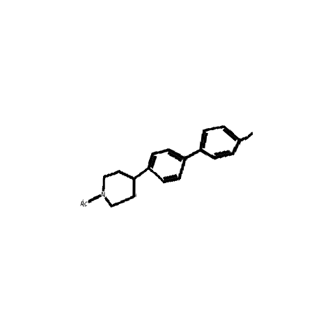 CC(=O)N1CCC(c2ccc(-c3ccc(C)cc3)cc2)CC1